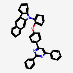 c1ccc(-c2cc(-c3ccc(Oc4ccccc4-n4c5ccccc5c5cc6ccccc6cc54)cc3)nc(-c3ccccc3)n2)cc1